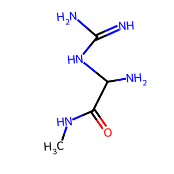 CNC(=O)C(N)NC(=N)N